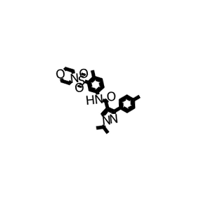 Cc1ccc(-c2nn(C(C)C)cc2C(=O)Nc2ccc(C)c(S(=O)(=O)N3CCOCC3)c2)cc1